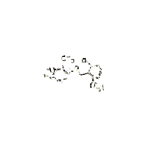 C/C=C\C(OCc1c(Cl)cccc1C(=O)O)=C(\C)N